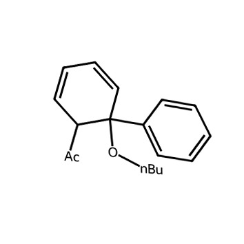 CCCCOC1(c2ccccc2)C=CC=CC1C(C)=O